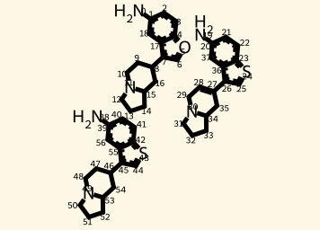 Nc1ccc2occ(C3CCN4CCCC4C3)c2c1.Nc1ccc2scc(C3=CCN4CCCC4C3)c2c1.Nc1ccc2scc(C3CCN4CCCC4C3)c2c1